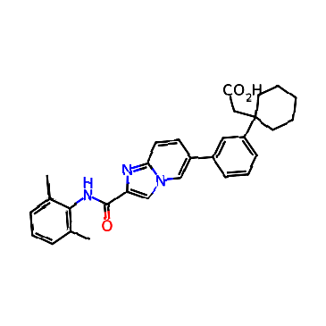 Cc1cccc(C)c1NC(=O)c1cn2cc(-c3cccc(C4(CC(=O)O)CCCCC4)c3)ccc2n1